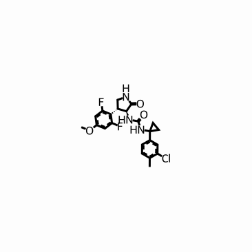 COc1cc(F)c([C@@H]2CNC(=O)[C@H]2NC(=O)NC2(c3ccc(C)c(Cl)c3)CC2)c(F)c1